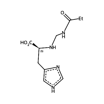 CCC(=O)NCN[C@@H](Cc1c[nH]cn1)C(=O)O